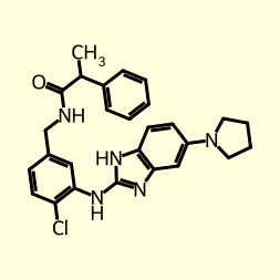 CC(C(=O)NCc1ccc(Cl)c(Nc2nc3cc(N4CCCC4)ccc3[nH]2)c1)c1ccccc1